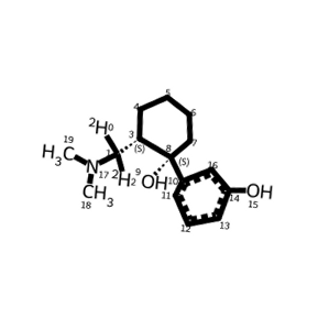 [2H]C([2H])([C@@H]1CCCC[C@@]1(O)c1cccc(O)c1)N(C)C